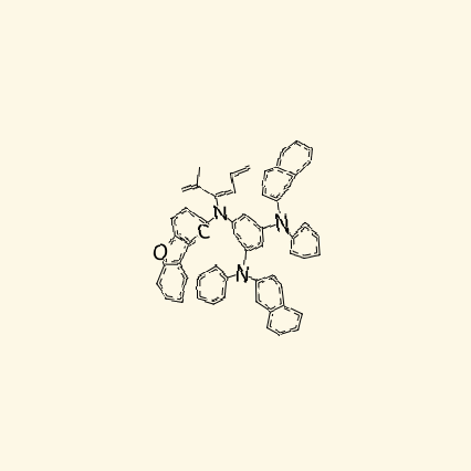 C=C/C=C(\C(=C)C)N(c1cc(N(c2ccccc2)c2ccc3ccccc3c2)cc(N(c2ccccc2)c2ccc3ccccc3c2)c1)c1ccc2oc3ccccc3c2c1